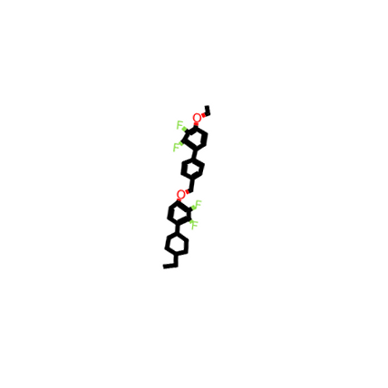 CCOc1ccc(-c2ccc(COc3ccc(C4CCC(CC)CC4)c(F)c3F)cc2)c(F)c1F